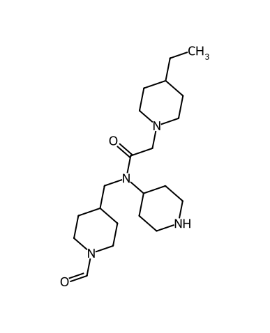 CCC1CCN(CC(=O)N(CC2CCN(C=O)CC2)C2CCNCC2)CC1